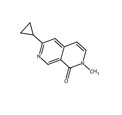 Cn1ccc2cc(C3CC3)ncc2c1=O